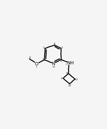 COc1cccc(NC2CCC2)n1